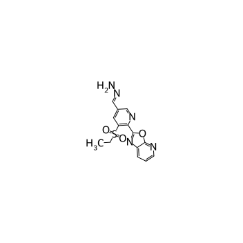 CCS(=O)(=O)c1cc(/C=N/N)cnc1-c1nc2cccnc2o1